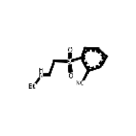 CCNCCS(=O)(=O)c1ccccc1C#N